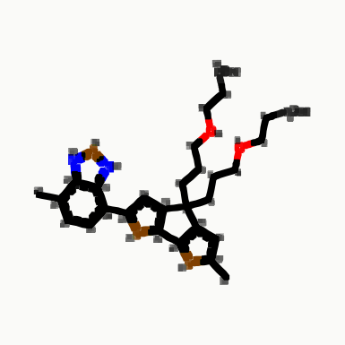 CCCCCCCCCCCCOCCCC1(CCCOCCCCCCCCCCCC)c2cc(C)sc2-c2sc(-c3ccc(C)c4nsnc34)cc21